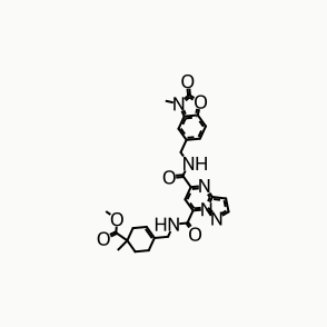 COC(=O)C1(C)CC=C(CNC(=O)c2cc(C(=O)NCc3ccc4oc(=O)n(C)c4c3)nc3ccnn23)CC1